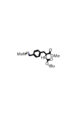 CN/N=C/c1ccc(CC(NC(=O)OC(C)(C)C)C(=O)OC)cc1